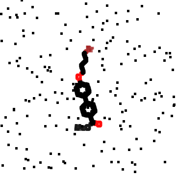 COC(=O)c1ccc(-c2ccc(OCCCCBr)cc2)cc1